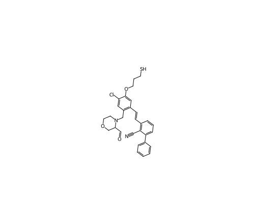 N#Cc1c(/C=C/c2cc(OCCCS)c(Cl)cc2CN2CCOCC2C=O)cccc1-c1ccccc1